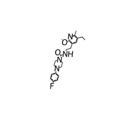 CCc1cc(CCNC(=O)N2CCN(c3ccc(F)cc3)CC2)c(OC)nc1C